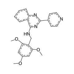 COc1cc(OC)c(CNc2nc(-c3ccncc3)nc3ccccc23)c(OC)c1